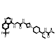 CC[C@H](NC(=O)N(C)C)[C@H]1CC[C@H](N2CC(NC(=O)CNc3ncnc4ccc(C(F)(F)F)cc34)C2)CC1